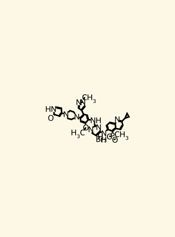 COc1cc(N2CCN(c3cc[nH]c(=O)c3)CC2)c(-c2cnn(C)c2)cc1Nc1ncc(Br)c(Nc2ccc3nc(C4CC4)ccc3c2P(C)(C)=O)n1